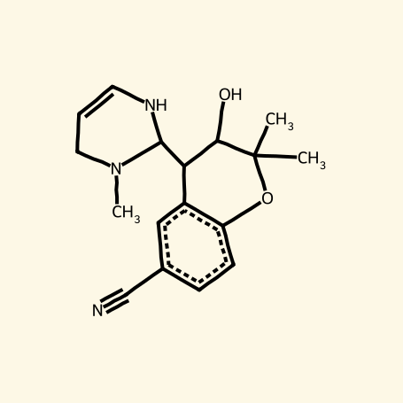 CN1CC=CNC1C1c2cc(C#N)ccc2OC(C)(C)C1O